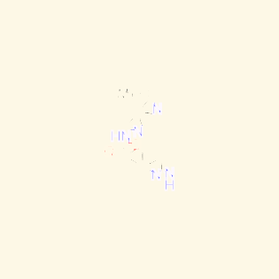 COc1cncc(-c2ccc(NC(=O)C3(c4ccc(-c5cnc6c(c5)CCN6)cc4)CCOCC3)nc2)c1